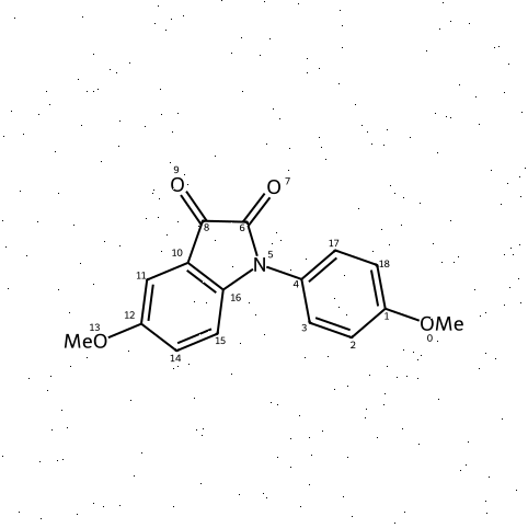 COc1ccc(N2C(=O)C(=O)c3cc(OC)ccc32)cc1